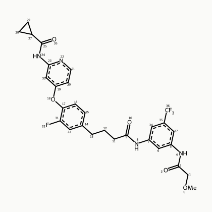 COCC(=O)Nc1cc(NC(=O)CCCc2ccc(Oc3ccnc(NC(=O)C4CC4)c3)c(F)c2)cc(C(F)(F)F)c1